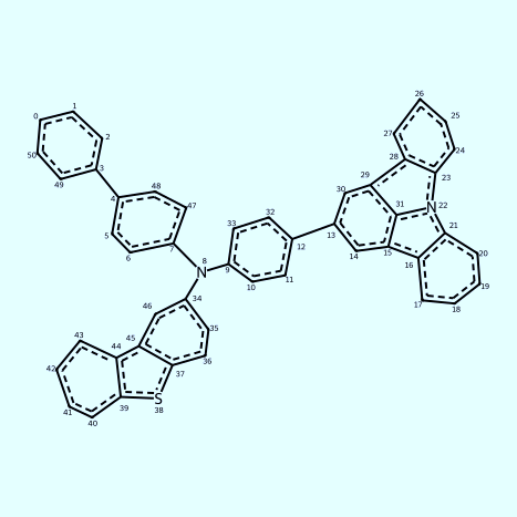 c1ccc(-c2ccc(N(c3ccc(-c4cc5c6ccccc6n6c7ccccc7c(c4)c56)cc3)c3ccc4sc5ccccc5c4c3)cc2)cc1